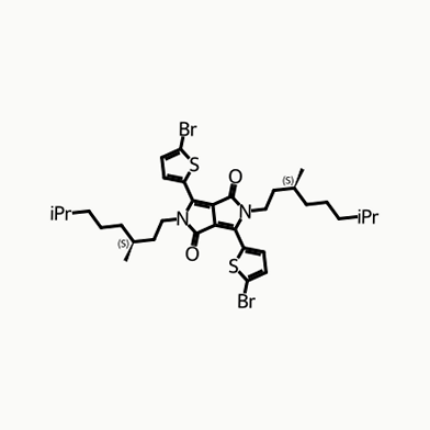 CC(C)CCC[C@H](C)CCN1C(=O)C2=C(c3ccc(Br)s3)N(CC[C@@H](C)CCCC(C)C)C(=O)C2=C1c1ccc(Br)s1